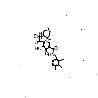 CCN1C(=O)c2c(O)c(=O)c(C(=O)NCc3ccc(C)c(C)c3F)cn2[C@H]2CCOC[C@H]21